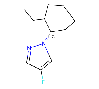 CCC1CCCC[C@@H]1n1cc(F)cn1